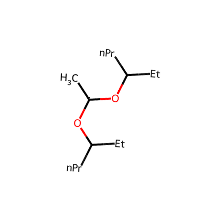 CCCC(CC)O[C](C)OC(CC)CCC